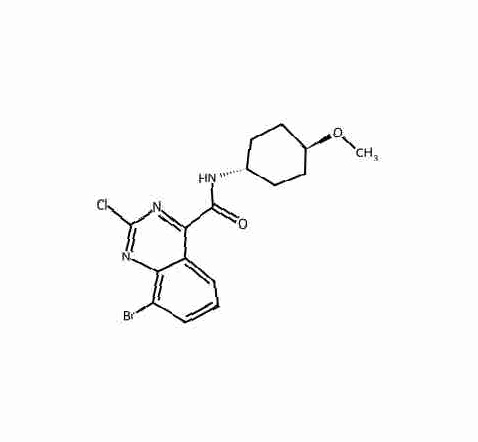 CO[C@H]1CC[C@H](NC(=O)c2nc(Cl)nc3c(Br)cccc23)CC1